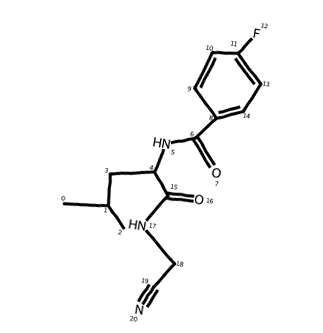 CC(C)CC(NC(=O)c1ccc(F)cc1)C(=O)NCC#N